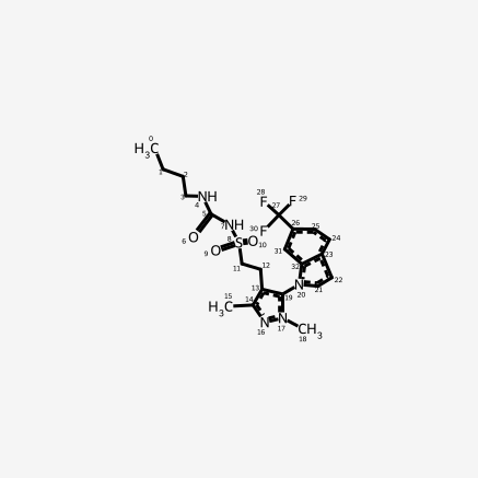 CCCCNC(=O)NS(=O)(=O)CCc1c(C)nn(C)c1-n1ccc2ccc(C(F)(F)F)cc21